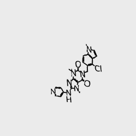 Cn1ccc2c(Cl)c(Cn3c(=O)c4c(nc(Nc5ccncc5)n4C)n(C)c3=O)ccc21